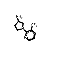 NC1CCN(c2ncccc2C(F)(F)F)C1